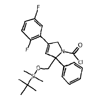 CC(C)(C)[Si](C)(C)OCC1(c2ccccc2)C=C(c2cc(F)ccc2F)CN1C(=O)Cl